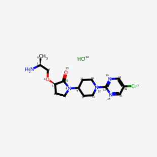 C[C@H](N)CO[C@@H]1CCN(C2CCN(c3ncc(Cl)cn3)CC2)C1=O.Cl